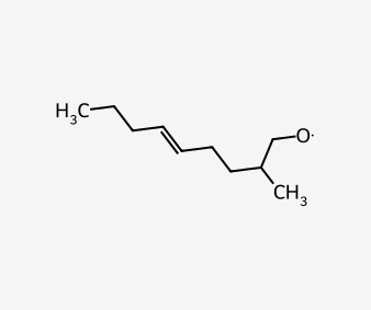 CCC/C=C/CCC(C)C[O]